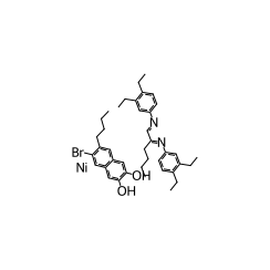 CCCCC(C=Nc1ccc(CC)c(CC)c1)=Nc1ccc(CC)c(CC)c1.CCCCc1cc2cc(O)c(O)cc2cc1Br.[Ni]